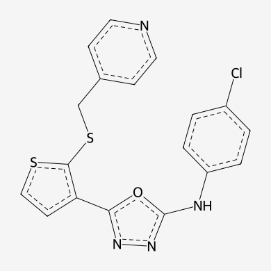 Clc1ccc(Nc2nnc(-c3ccsc3SCc3ccncc3)o2)cc1